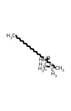 CCCCCCCCCCCCCCCCCCNC(=O)CCN(CC(C)C)CC(C)C